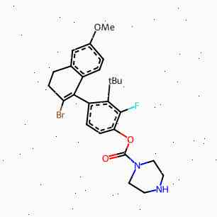 COc1ccc2c(c1)CCC(Br)=C2c1ccc(OC(=O)N2CCNCC2)c(F)c1C(C)(C)C